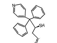 O=[C]C[C@H](S)C(c1ccccc1)(c1ccccc1)c1ccncc1